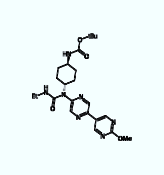 CCNC(=O)N(c1cnc(-c2cnc(OC)nc2)cn1)[C@H]1CC[C@H](NC(=O)OC(C)(C)C)CC1